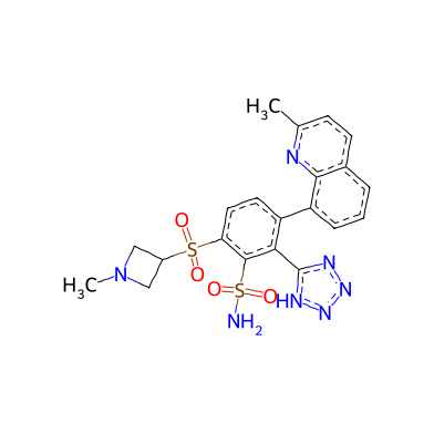 Cc1ccc2cccc(-c3ccc(S(=O)(=O)C4CN(C)C4)c(S(N)(=O)=O)c3-c3nnn[nH]3)c2n1